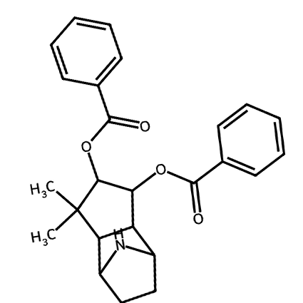 CC1(C)C(OC(=O)c2ccccc2)C(OC(=O)c2ccccc2)C2C3CCC(N3)C21